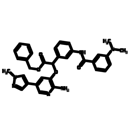 CN(C)c1cccc(C(=O)Nc2cccc(C(Oc3cc(-c4cnn(C)c4)cnc3N)C(=O)OCc3ccccc3)c2)c1